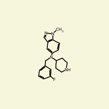 Cn1ncc2cc(N(Cc3cccc(F)c3)C3CCNCC3)ccc21